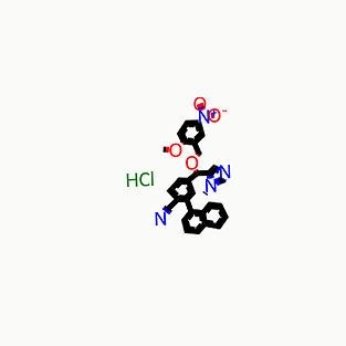 COc1ccc([N+](=O)[O-])cc1COC(c1ccc(C#N)c(-c2cccc3ccccc23)c1)c1cncn1C.Cl